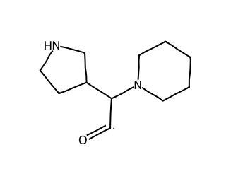 O=[C]C(C1CCNC1)N1CCCCC1